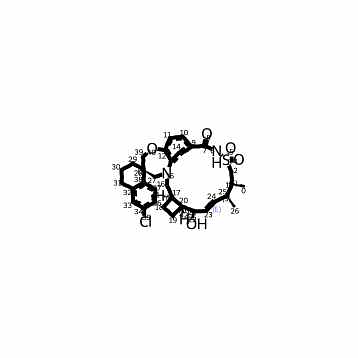 C[C@@H]1CS(=O)(=O)NC(=O)c2ccc3c(c2)N(C[C@@H]2CC[C@H]2[C@H](O)/C=C/[C@@H]1C)C[C@@]1(CCCc2cc(Cl)ccc21)CO3